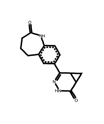 O=C1CCCc2cc(C3=NNC(=O)C4CC34)ccc2N1